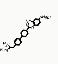 CCCCCCCc1ccc(OC(=O)C2CCC(c3ccc(CC(C)CCCCC)cc3)CC2)c(C#N)c1